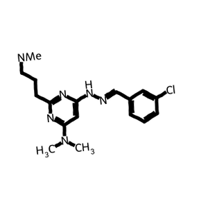 CNCCCc1nc(N/N=C/c2cccc(Cl)c2)cc(N(C)C)n1